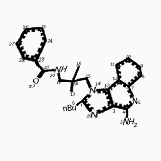 CCCCc1nc2c(N)nc3ccccc3c2n1CC(C)(C)CNC(=O)c1ccccc1